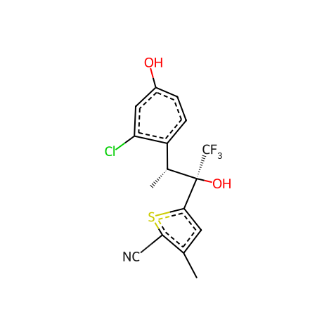 Cc1cc([C@](O)([C@H](C)c2ccc(O)cc2Cl)C(F)(F)F)sc1C#N